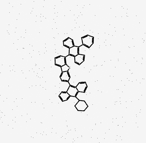 c1ccc(-c2c3ccccc3c(-c3cccc4c3sc3cc(-c5c6ccccc6c(C6CCCCC6)c6ccccc56)ccc34)c3ccccc23)cc1